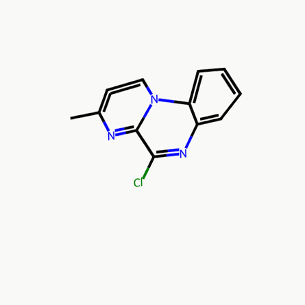 CC1=C=CN2C(=N1)C(Cl)=Nc1ccccc12